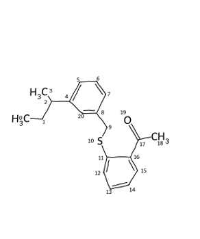 CCC(C)c1cccc(CSc2ccccc2C(C)=O)c1